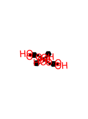 O=C(O)c1ccc(COC[C@@H](OCc2ccccc2)[C@@H](O)[C@H](O)[C@@H](COCc2ccc(C(=O)O)cc2)OCc2ccccc2)cc1